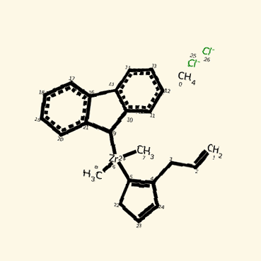 C.C=CCC1=[C]([Zr+2]([CH3])([CH3])[CH]2c3ccccc3-c3ccccc32)CC=C1.[Cl-].[Cl-]